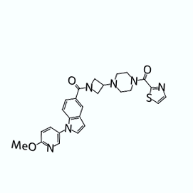 COc1ccc(-n2ccc3cc(C(=O)N4CC(N5CCN(C(=O)c6nccs6)CC5)C4)ccc32)cn1